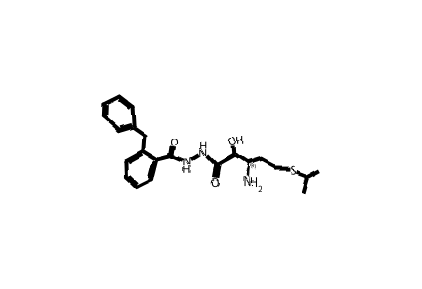 CC(C)SCC[C@@H](N)C(O)C(=O)NNC(=O)c1ccccc1Cc1ccccc1